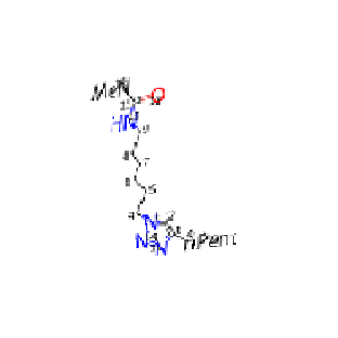 CCCCCc1cn(CCCCCCNC(=O)NC)nn1